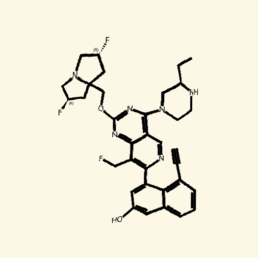 C#Cc1cccc2cc(O)cc(-c3ncc4c(N5CCNC(CC)C5)nc(OCC56C[C@@H](F)CN5C[C@H](F)C6)nc4c3CF)c12